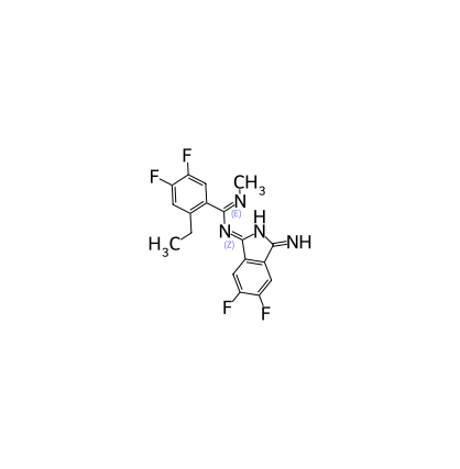 CCc1cc(F)c(F)cc1C(/N=C1\NC(=N)c2cc(F)c(F)cc21)=N\C